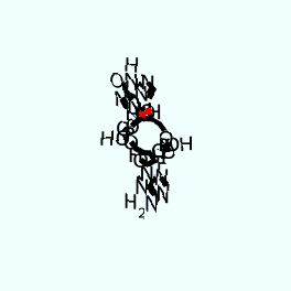 Nc1ncnc2c1ncn2[C@@H]1O[C@@H]2COP(=O)(O)O[C@@H]3[C@H](F)[C@@H](CCOP(=O)(O)O[C@H]2[C@H]1F)O[C@H]3n1cnc2c(=O)[nH]c3nccn3c21